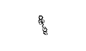 O=C(CCN1CCc2sccc2C1)Oc1ccccc1Cl